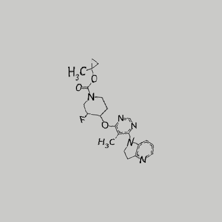 Cc1c(OC2CCN(C(=O)OC3(C)CC3)CC2F)ncnc1N1CCc2ncccc21